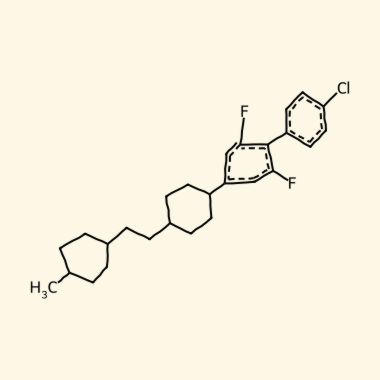 CC1CCC(CCC2CCC(c3cc(F)c(-c4ccc(Cl)cc4)c(F)c3)CC2)CC1